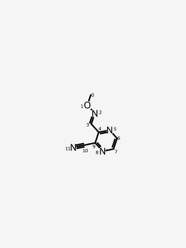 CON=Cc1nccnc1C#N